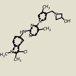 Cc1cn(-c2nc(Nc3ccc4c(c3)c(Cl)c(C)n4C)ncc2C)cc1CN1CC(O)C1